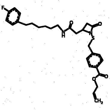 C=CCOC(=O)c1ccc(CSN2C(=O)CC2CC(=O)NCCCCCCc2ccc(F)cc2)cc1